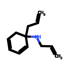 C=CCNC1(CC=C)C=CC=CC1